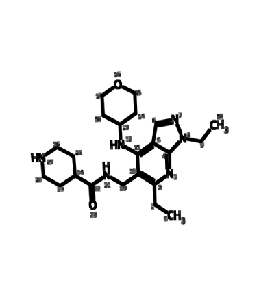 CCc1nc2c(cnn2CC)c(NC2CCOCC2)c1CNC(=O)C1CCNCC1